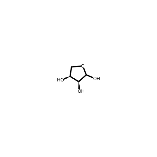 OC1OC[C@H](O)[C@@H]1O